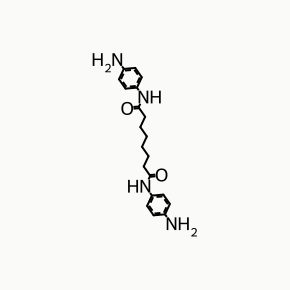 Nc1ccc(NC(=O)CCCCCCC(=O)Nc2ccc(N)cc2)cc1